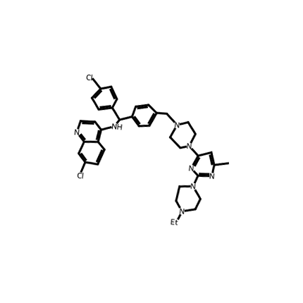 CCN1CCN(c2nc(C)cc(N3CCN(Cc4ccc(C(Nc5ccnc6cc(Cl)ccc56)c5ccc(Cl)cc5)cc4)CC3)n2)CC1